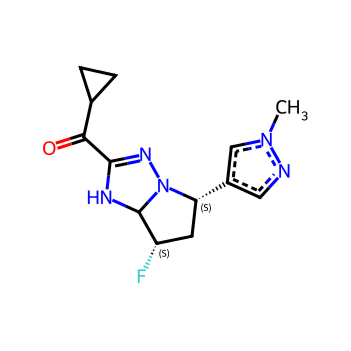 Cn1cc([C@@H]2C[C@H](F)C3NC(C(=O)C4CC4)=NN32)cn1